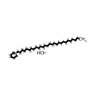 CCCCCCCCCCCCCCCCCCCCCCCCCCCCN1CCCCC1.Cl